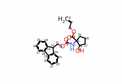 C=CCOC(=O)C1(NC(=O)OCC2c3ccccc3-c3ccccc32)CCCC1O